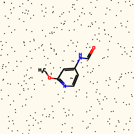 COc1cc(N[C]=O)ccn1